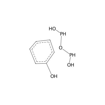 OPOPO.Oc1ccccc1